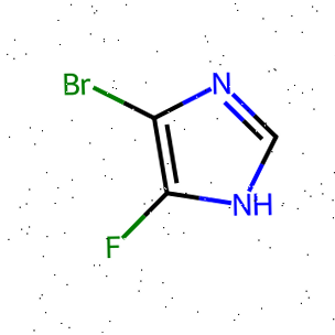 Fc1[nH]cnc1Br